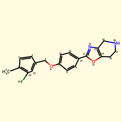 Cc1ccc(COc2ccc(-c3nc4c(o3)CCNC4)cc2)cc1F